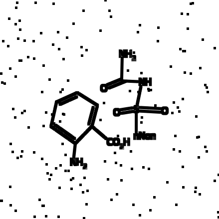 CCCCCCCCCS(=O)(=O)NC(N)=O.Nc1ccccc1C(=O)O